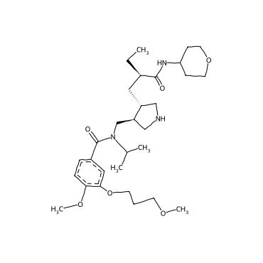 CC[C@H](C[C@@H]1CNC[C@H]1CN(C(=O)c1ccc(OC)c(OCCCOC)c1)C(C)C)C(=O)NC1CCOCC1